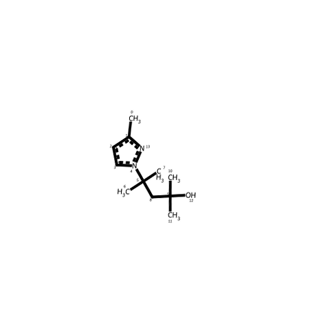 Cc1ccn(C(C)(C)CC(C)(C)O)n1